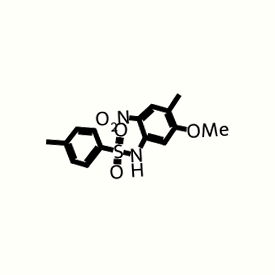 COc1cc(NS(=O)(=O)c2ccc(C)cc2)c([N+](=O)[O-])cc1C